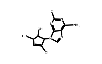 Nc1nc(Cl)nc2c1ncn2C1C(Cl)=CC(O)C1O